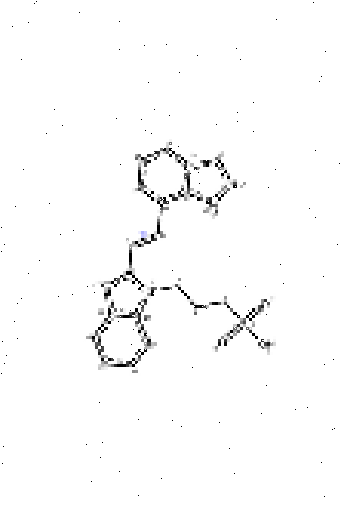 O=S(=O)(O)CCC[n+]1c(/C=C/c2cccc3cn[nH]c23)sc2ccccc21